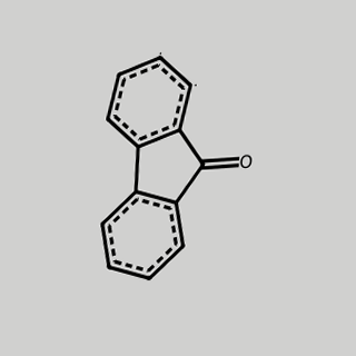 O=C1c2[c][c]ccc2-c2ccccc21